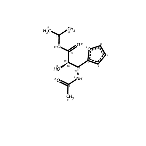 CC(=O)N[C@@H](c1ccco1)[C@@H](O)C(=O)OC(C)C